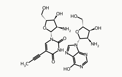 CC#Cc1cn([C@@H]2O[C@H](CO)[C@@H](O)[C@H]2N)c(=O)[nH]c1=O.N[C@@H]1[C@H](O)[C@@H](CO)O[C@H]1n1cnc2c(O)ncnc21